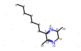 CCCCCCCC1=NC(C)CN=C1C